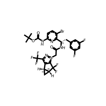 CC(C)(C)OC(=O)Nc1ccc(Br)c([C@H](Cc2cc(F)cc(F)c2)NC(=O)Cn2nc(C(F)(F)F)c3c2C(F)(F)[C@@H]2C[C@H]32)n1